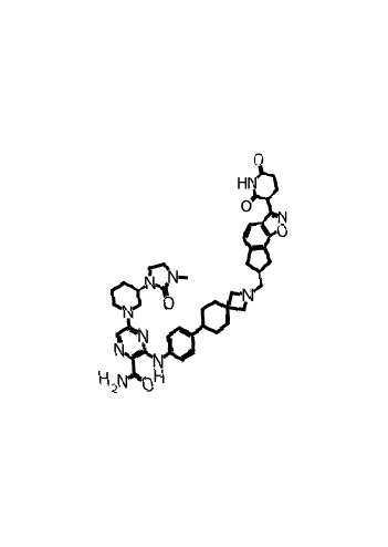 CN1CCN([C@@H]2CCCN(c3cnc(C(N)=O)c(Nc4ccc(C5CCC6(CC5)CN(C[C@H]5Cc7ccc8c(C9CCC(=O)NC9=O)noc8c7C5)C6)cc4)n3)C2)C1=O